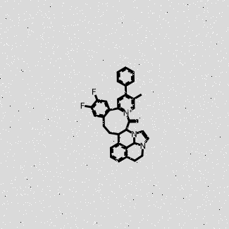 C=C1C2C(CCc3cc(F)c(F)cc3-c3cc(-c4ccccc4)c(C)c[n+]31)c1cccc3c1C1N(C=CN21)CC3